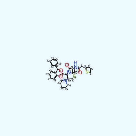 O=C(Cc1cccs1)NC1C(=O)N2C(C(=O)OC(c3ccccc3)c3ccccc3)=C(N3CCCCC3)CS[C@@H]12